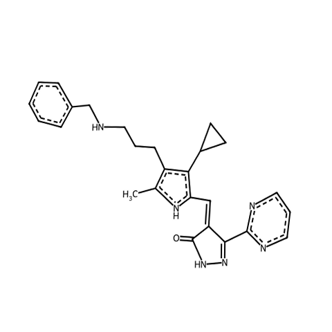 Cc1[nH]c(C=C2C(=O)NN=C2c2ncccn2)c(C2CC2)c1CCCNCc1ccccc1